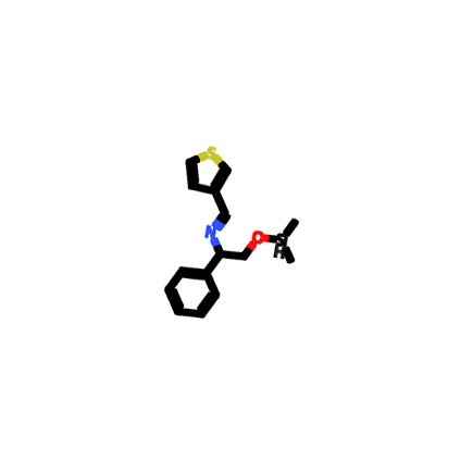 C[SiH](C)OCC(N=Cc1ccsc1)c1ccccc1